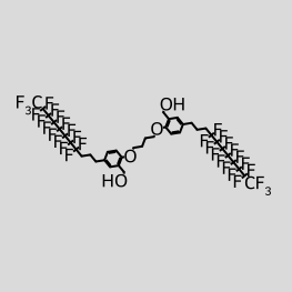 OCc1cc(CCCC(F)(F)C(F)(F)C(F)(F)C(F)(F)C(F)(F)C(F)(F)C(F)(F)C(F)(F)F)ccc1OCCCCOc1ccc(CCCC(F)(F)C(F)(F)C(F)(F)C(F)(F)C(F)(F)C(F)(F)C(F)(F)C(F)(F)F)cc1CO